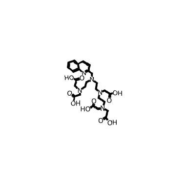 O=C(O)CN(CCN(CC(=O)O)CC(=O)O)CCN(CCN(CC(=O)O)CC(=O)O)Cc1ccc2ccccc2n1